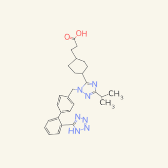 CC(C)c1nc(C2CCC(CCC(=O)O)CC2)n(Cc2ccc(-c3ccccc3-c3nnn[nH]3)cc2)n1